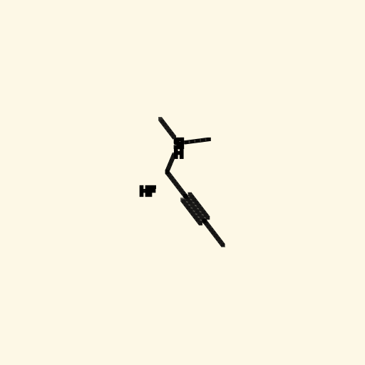 CC#CC[SiH](C)C.F